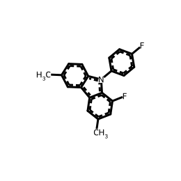 Cc1ccc2c(c1)c1cc(C)cc(F)c1n2-c1ccc(F)cc1